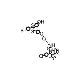 Cc1sc2c(c1C)C(c1ccc(Cl)cc1)=N[C@@H](CC(=O)NCCCCOCCOc1ccc(C(=O)c3c(-c4ccc(Br)cc4)sc4cc(O)ccc34)cc1)c1nnc(C)n1-2